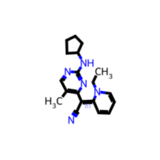 CCN1C=CC=C/C1=C(\C#N)c1nc(NC2CCCC2)ncc1C